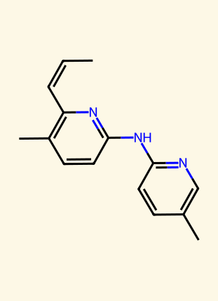 C/C=C\c1nc(Nc2ccc(C)cn2)ccc1C